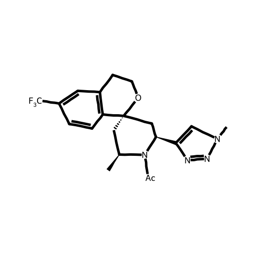 CC(=O)N1[C@@H](C)C[C@@]2(C[C@H]1c1cn(C)nn1)OCCc1cc(C(F)(F)F)ccc12